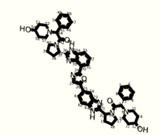 O=C([C@H](c1ccccc1)N1CCC(O)CC1)N1CCCC1c1nc2cc(-c3cnc(-c4cccc5[nH]c([C@@H]6CCCN6C(=O)C(c6ccccc6)N6CCC(O)CC6)nc45)o3)ccc2[nH]1